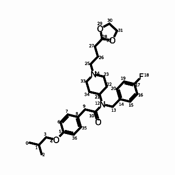 CC(C)COc1ccc(CC(=O)N(Cc2ccc(F)cc2)C2CCN(CCCC3OCCO3)CC2)cc1